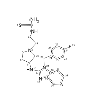 NC(=S)NCCN1CCC(Nc2nc3ccccc3n2Cc2ccc(F)cc2)C1